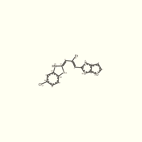 CCC(=Cc1nc2ccoc2s1)C=C1Nc2cc(Cl)ccc2S1